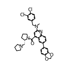 CN(Cc1ccc(Cl)c(Cl)c1)c1cc(C(=O)N2CCC[C@H]2CN2CCCC2)c2cc(-c3ccc4c(c3)OCO4)ccc2n1